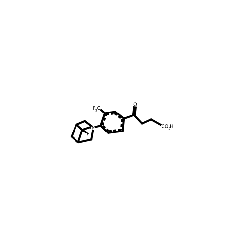 O=C(O)CCC(=O)c1ccc(N2CC3CC(C2)C3(F)F)c(C(F)(F)F)c1